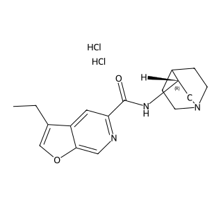 CCc1coc2cnc(C(=O)N[C@H]3CN4CCC3CC4)cc12.Cl.Cl